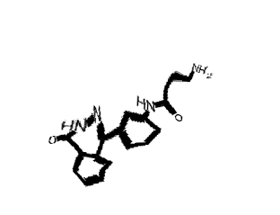 NCCC(=O)Nc1cccc(-c2n[nH]c(=O)c3ccccc23)c1